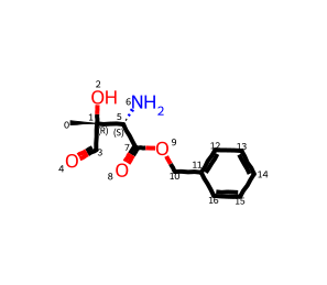 C[C@](O)(C=O)[C@H](N)C(=O)OCc1ccccc1